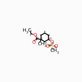 CCOC(=O)C1(C)CCCC(OS(C)(=O)=O)C1